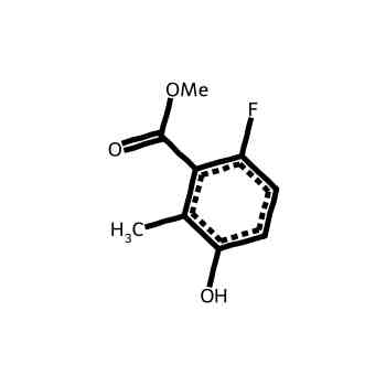 COC(=O)c1c(F)ccc(O)c1C